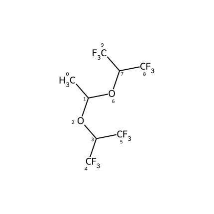 CC(OC(C(F)(F)F)C(F)(F)F)OC(C(F)(F)F)C(F)(F)F